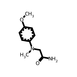 COc1ccc(N(C)CC(N)=O)cc1